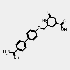 N=C(N)c1ccc(-c2ccc(OC[C@@H]3C[C@H](C(=O)O)CC(=O)N3)cc2)cc1